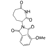 COc1cccc2c1C(=O)N(C1CCCC(=O)NC1=O)C2=O